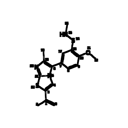 C=C(C)c1cn2c(-c3ccc(OC)c(SNC)c3)c(C)nc2s1